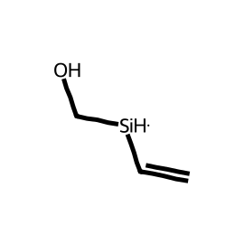 C=C[SiH]CO